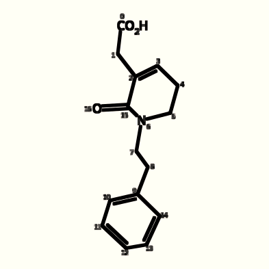 O=C(O)CC1=CCCN(CCc2ccccc2)C1=O